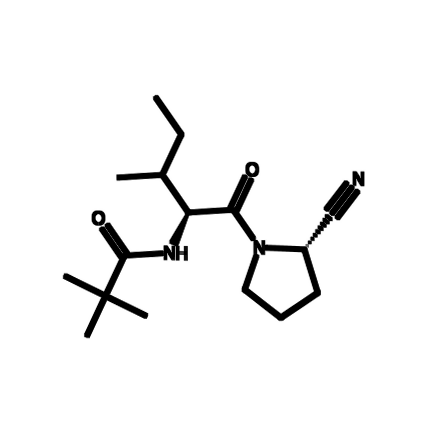 CCC(C)[C@H](NC(=O)C(C)(C)C)C(=O)N1CCC[C@H]1C#N